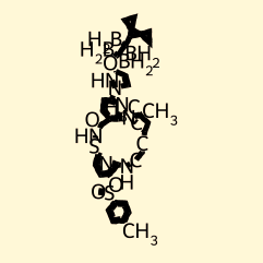 BC(B)(OC1C=CN(c2ccc3c(n2)N2CC(CCCNc4nc(ccc4OS(=O)c4ccc(C)cc4)SNC3=O)CC2(C)C)N1)C(B)(B)C1C2(CC2)C12CC2